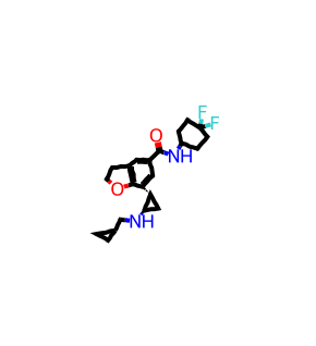 O=C(NC1CCC(F)(F)CC1)c1cc2c(c([C@@H]3C[C@H]3NCC3CC3)c1)OCC2